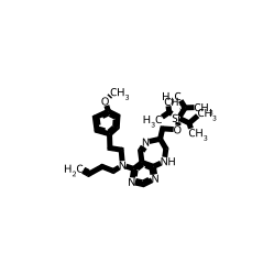 C=CCCN(CCc1ccc(OC)cc1)c1ncnc2c1C=NC(CO[Si](C(C)C)(C(C)C)C(C)C)CN2